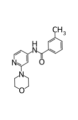 Cc1cccc(C(=O)Nc2ccnc(N3CCOCC3)c2)c1